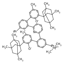 Cc1cc(-c2ccc(C(C)C)cc2-c2cccc(-c3cc(C(C)C)ccc3-c3cc(C)cc(C45CC6(C)CC(C)(CC(C)(C6)C4)C5)c3[O-])n2)c([O-])c(C23CC4(C)CC(C)(CC(C)(C4)C2)C3)c1.[CH3][Hf+2][CH3]